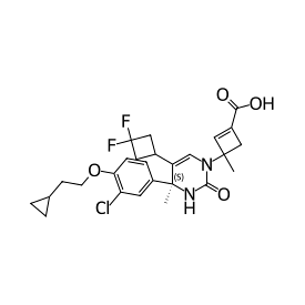 CC1(N2C=C(C3CC(F)(F)C3)[C@](C)(c3ccc(OCCC4CC4)c(Cl)c3)NC2=O)C=C(C(=O)O)C1